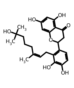 CC(=CCc1c(C2CC(=O)c3c(O)cc(O)cc3O2)ccc(O)c1O)CCCC(C)(C)O